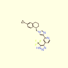 FC(F)(F)c1[nH]nnc1-c1ccnc(-c2cn(C[C@@H]3CCCc4cc(C5CC5)ccc43)cn2)c1